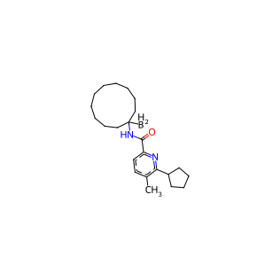 BC1(NC(=O)c2ccc(C)c(C3CCCC3)n2)CCCCCCCCCC1